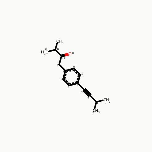 CC(C)C#Cc1ccc(CC(=O)C(C)C)cc1